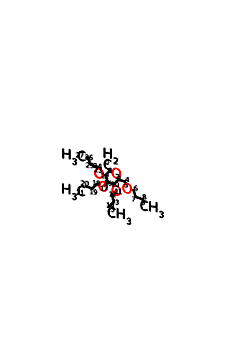 C=C1OC(COCCCC)C(OCCCC)C(OCCCC)C1OCCCC